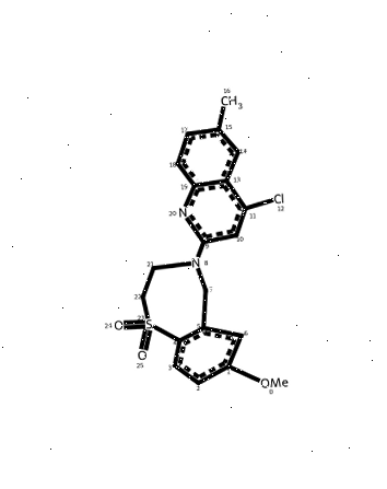 COc1ccc2c(c1)CN(c1cc(Cl)c3cc(C)ccc3n1)CCS2(=O)=O